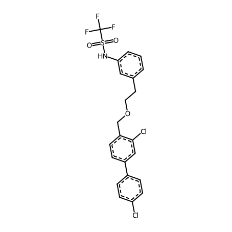 O=S(=O)(Nc1cccc(CCOCc2ccc(-c3ccc(Cl)cc3)cc2Cl)c1)C(F)(F)F